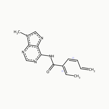 C=C/C=C\C(=C/C)C(=O)Nc1ncnc2c1ncn2C